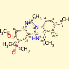 CCc1cccc([C@@H](C)Nc2nc(C)nc3cc(OC)c(P(C)(C)=O)cc23)c1F